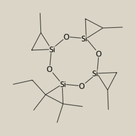 CCC1(C)C(C)(C)[Si]12O[Si]1(CC1C)O[Si]1(CC1C)O[Si]1(CC1C)O2